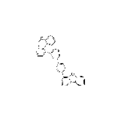 c1cc(-c2ccc(-c3cccc4c3oc3ccccc34)cc2)cc(-c2cccc3c2-c2ccccc2OC3)c1